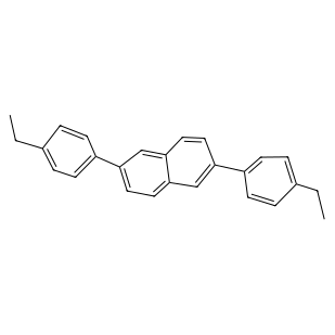 CCc1ccc(-c2ccc3cc(-c4ccc(CC)cc4)ccc3c2)cc1